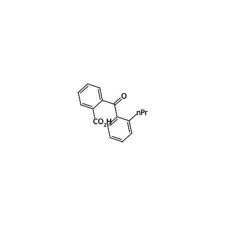 CCCc1ccccc1C(=O)c1ccccc1C(=O)O